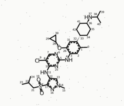 Cc1cc(Nc2ncc(Cl)c(Nc3cn(C)nc3S(=O)(=O)CC(C)C)n2)c(OC2CC2)cc1[C@H]1CC[C@H](NC(C)C)CC1